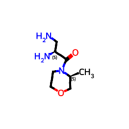 C[C@H]1COCCN1C(=O)[C@@H](N)CN